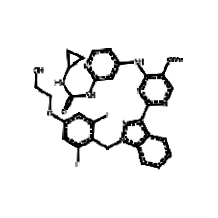 COc1cnc(-c2nn(Cc3c(F)cc(OCCO)cc3F)c3ccccc23)nc1Nc1ccnc(NC(=O)NC2CC2)c1